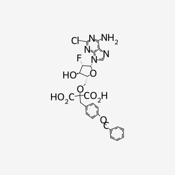 Nc1nc(Cl)nc2c1ncn2[C@@H]1O[C@H](COC(Cc2ccc(OCc3ccccc3)cc2)(C(=O)O)C(=O)O)[C@@H](O)[C@@H]1F